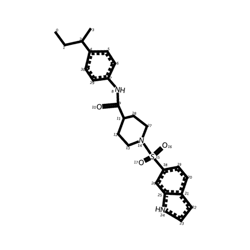 CCC(C)c1ccc(NC(=O)C2CCN(S(=O)(=O)c3ccc4cc[nH]c4c3)CC2)cc1